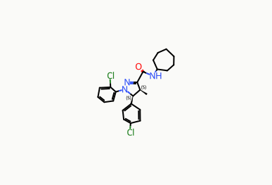 C[C@@H]1C(C(=O)NC2CCCCCC2)=NN(c2ccccc2Cl)[C@@H]1c1ccc(Cl)cc1